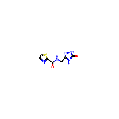 O=C(NCc1n[nH]c(=O)[nH]1)c1nccs1